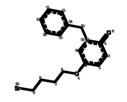 O=c1ccc(OCCCCBr)cn1Cc1ccccc1